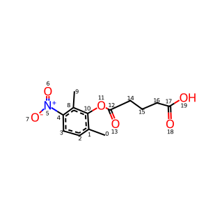 Cc1ccc([N+](=O)[O-])c(C)c1OC(=O)CCCC(=O)O